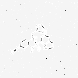 N#Cc1ccc(NCc2ncc[nH]2)c(NS(=O)(=O)c2cccc3cccnc23)c1